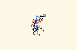 Cc1ccc(NC(=O)c2cnc(NC(=O)c3ccc(Cl)cc3)[se]2)c(C)c1